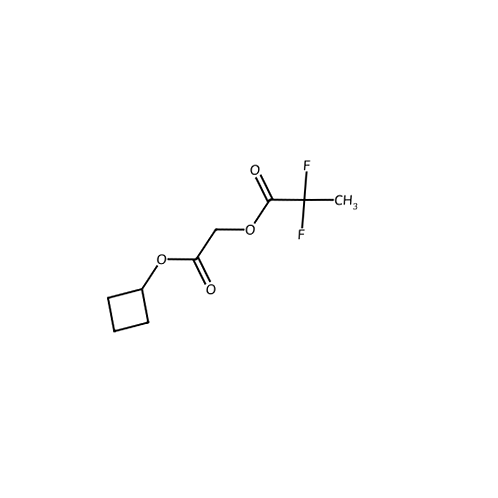 CC(F)(F)C(=O)OCC(=O)OC1CCC1